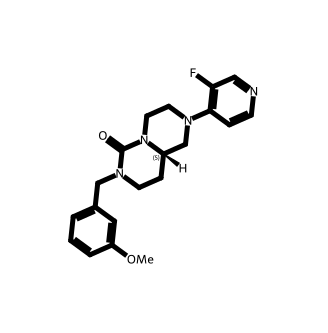 COc1cccc(CN2CC[C@H]3CN(c4ccncc4F)CCN3C2=O)c1